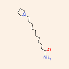 NC(=O)CCCCCCCCCCN1CCCC1